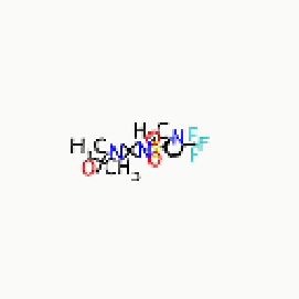 Cc1nc(C(F)(F)F)ccc1S(=O)(=O)N1CC2(CN(C(C)C3(C)COC3)C2)C1